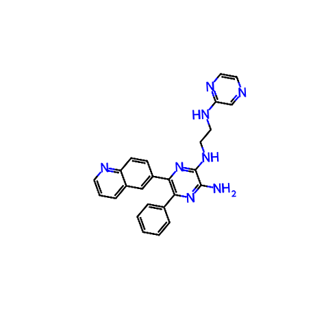 Nc1nc(-c2ccccc2)c(-c2ccc3ncccc3c2)nc1NCCNc1cnccn1